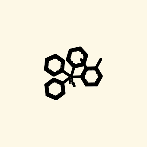 Cc1cccc([SH](C)(c2ccccc2)(c2ccccc2)c2ccccc2)c1C